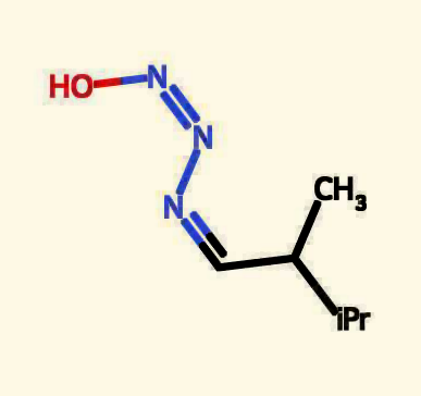 CC(C)C(C)/C=N\N=N/O